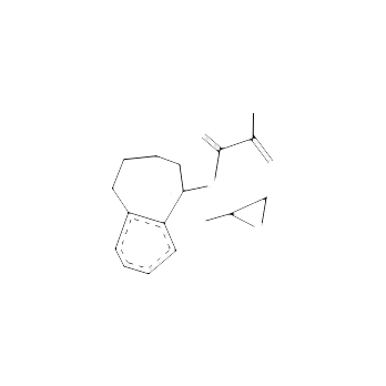 C=C(C)C(=O)O[C@]1(CC2CO2)CCCCc2ccccc21